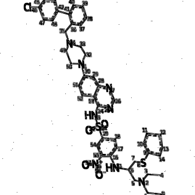 CCN(CC)CC(CSc1ccccc1)Nc1ccc(S(=O)(=O)Nc2ncnc3cc(N4CCN(Cc5ccccc5-c5ccc(Cl)cc5)CC4)ccc23)cc1[N+](=O)[O-]